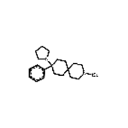 CC(C)(C)N1CCC2(CC1)CCC(c1ccccc1)(N1CCCC1)CC2